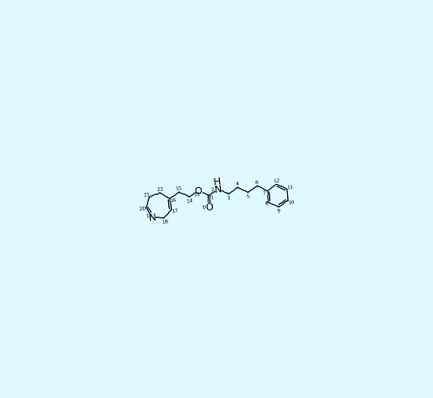 O=C(NCCCCc1ccccc1)OCCC1=CCN=CCC1